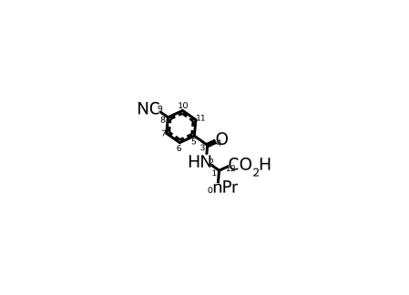 CCCC(NC(=O)c1ccc(C#N)cc1)C(=O)O